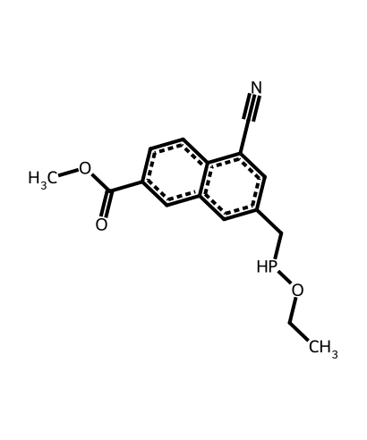 CCOPCc1cc(C#N)c2ccc(C(=O)OC)cc2c1